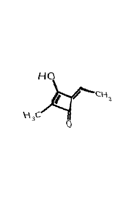 C/C=C1\C(=O)C(C)=C1O